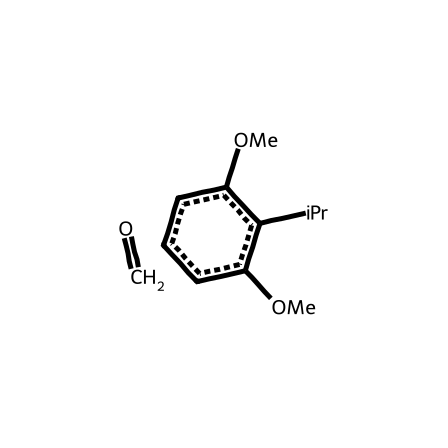 C=O.COc1cccc(OC)c1C(C)C